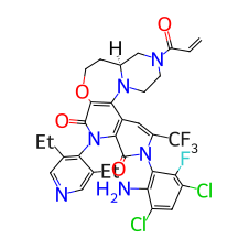 C=CC(=O)N1CCN2c3c(c(=O)n(-c4c(CC)cncc4CC)c4c(=O)n(-c5c(N)c(Cl)cc(Cl)c5F)c(C(F)(F)F)cc34)OCC[C@H]2C1